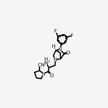 N#CC1CCCN1C(=O)C(N)CN1C[C@@H]2CC1C(=O)N2c1cc(F)cc(F)c1